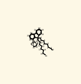 CCCCCCCCC1(CCCCCCCC)c2ccccc2-c2cccc(B3OCCO3)c21